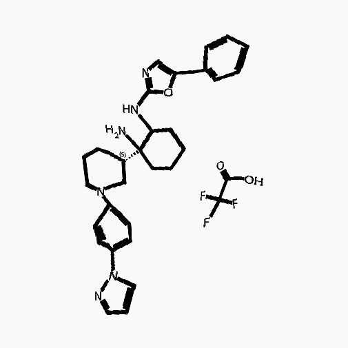 NC1([C@H]2CCCN(c3ccc(-n4cccn4)cc3)C2)CCCCC1Nc1ncc(-c2ccccc2)o1.O=C(O)C(F)(F)F